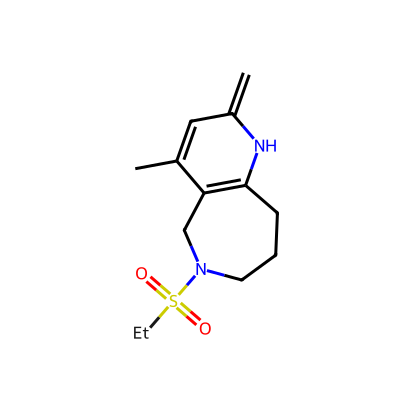 C=C1C=C(C)C2=C(CCCN(S(=O)(=O)CC)C2)N1